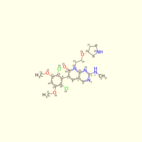 CNc1ncc2cc(-c3c(Cl)c(OC)cc(OC)c3Cl)c(=O)n(CCO[C@@H]3CCNC3)c2n1